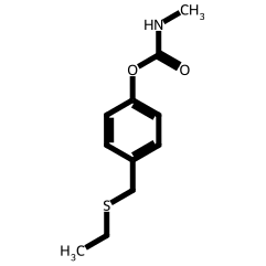 CCSCc1ccc(OC(=O)NC)cc1